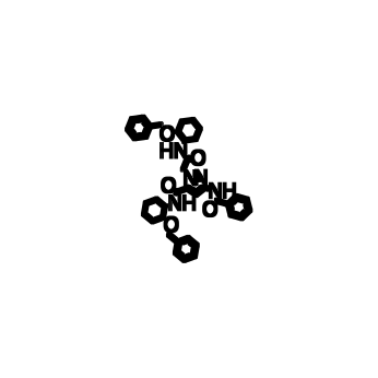 O=C(Cn1nc(NC(=O)c2ccccc2)cc1C(=O)N[C@H]1CCCC[C@@H]1OCc1ccccc1)N[C@@H]1CCCC[C@H]1OCc1ccccc1